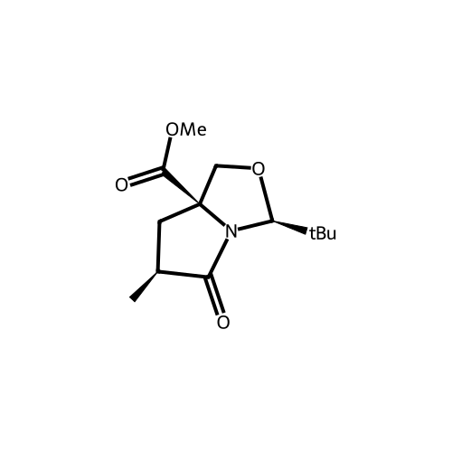 COC(=O)[C@@]12CO[C@@H](C(C)(C)C)N1C(=O)[C@@H](C)C2